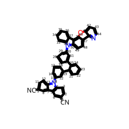 N#Cc1ccc2c(c1)c1cc(C#N)ccc1n2-c1cccc(-c2ccccc2-c2cccc(-n3c4ccccc4c4c5oc6cccnc6c5ccc43)c2)c1